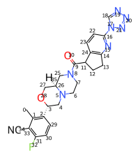 Cc1c([C@H]2CN3CCN(C(=O)C4CCc5nc(-n6cnnn6)ccc54)C[C@@H]3CO2)ccc(F)c1C#N